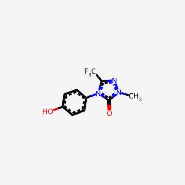 Cn1nc(C(F)(F)F)n(-c2ccc(O)cc2)c1=O